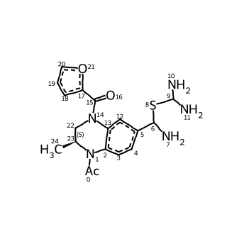 CC(=O)N1c2ccc(C(N)SC(N)N)cc2N(C(=O)c2ccco2)C[C@@H]1C